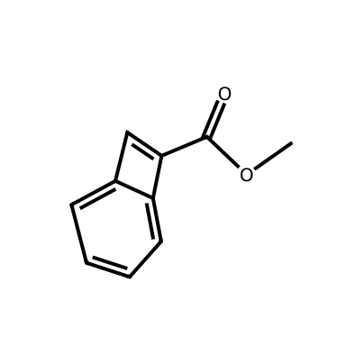 COC(=O)C1=Cc2ccccc21